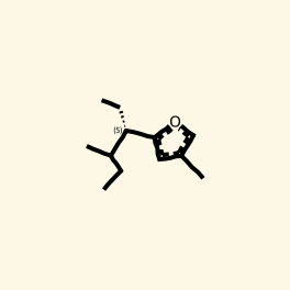 CCC(C)[C@H](CC)c1cc(C)co1